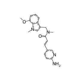 COc1cccc2c(CN(C)C(=O)/C=C/c3ccc(N)nc3)cn(C)c12